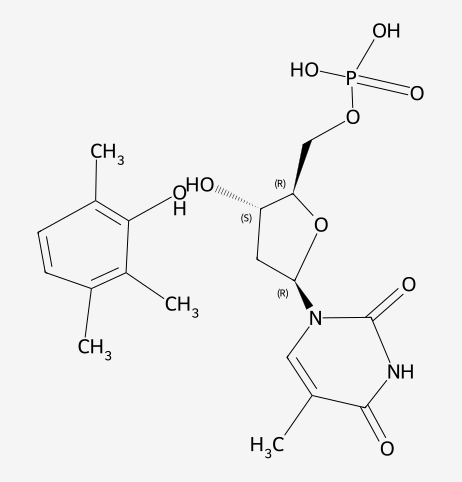 Cc1ccc(C)c(O)c1C.Cc1cn([C@H]2C[C@H](O)[C@@H](COP(=O)(O)O)O2)c(=O)[nH]c1=O